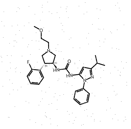 COCCN1C[C@@H](NC(=O)Nc2cc(C(C)C)nn2-c2ccccc2)[C@H](c2ccccc2F)C1